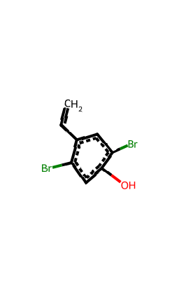 C=Cc1cc(Br)c(O)cc1Br